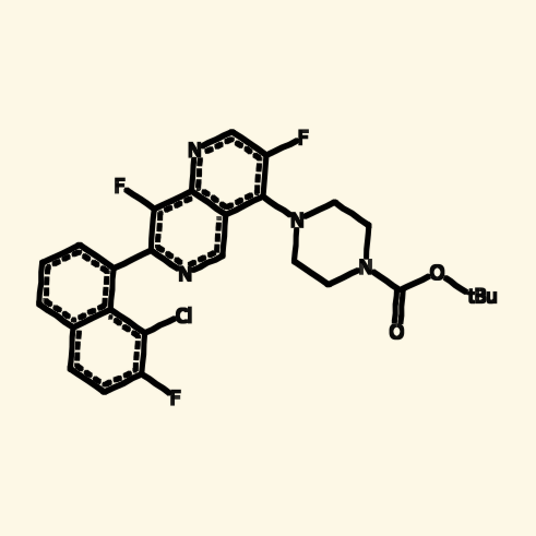 CC(C)(C)OC(=O)N1CCN(c2c(F)cnc3c(F)c(-c4cccc5ccc(F)c(Cl)c45)ncc23)CC1